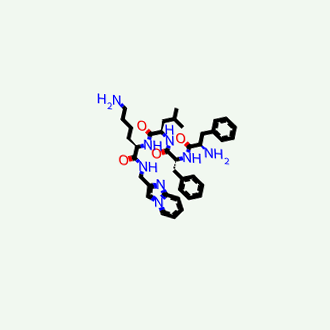 CC(C)C[C@@H](NC(=O)[C@@H](Cc1ccccc1)NC(=O)[C@H](N)Cc1ccccc1)C(=O)N[C@H](CCCCN)C(=O)NCc1cn2ccccc2n1